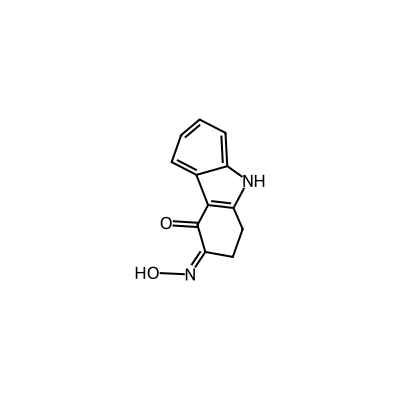 O=C1C(=NO)CCc2[nH]c3ccccc3c21